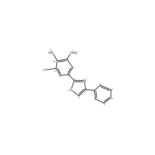 O=Cc1cc(-c2nc(-c3ccccc3)co2)cc(F)c1O